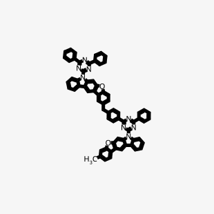 Cc1ccc2c(c1)oc1cc3c(cc12)c1ccccc1n3-c1nc(-c2ccccc2)nc(-c2ccc(Cc3ccc4oc5cc6c(cc5c4c3)c3ccccc3n6-c3nc(-c4ccccc4)nc(-c4ccccc4)n3)cc2)n1